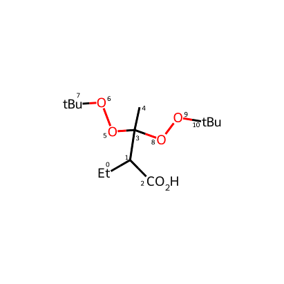 CCC(C(=O)O)C(C)(OOC(C)(C)C)OOC(C)(C)C